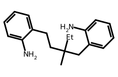 CCC(C)(CCc1ccccc1N)Cc1ccccc1N